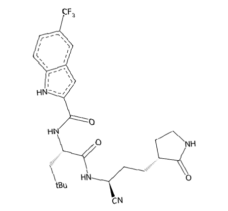 CC(C)(C)C[C@H](NC(=O)c1cc2cc(C(F)(F)F)ccc2[nH]1)C(=O)N[C@H](C#N)CC[C@@H]1CCNC1=O